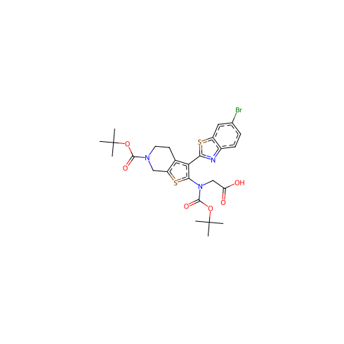 CC(C)(C)OC(=O)N1CCc2c(sc(N(CC(=O)O)C(=O)OC(C)(C)C)c2-c2nc3ccc(Br)cc3s2)C1